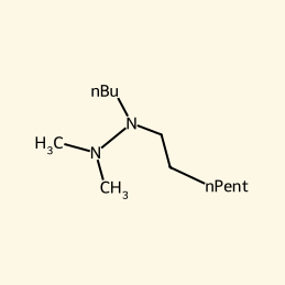 CCCCCCCN(CCCC)N(C)C